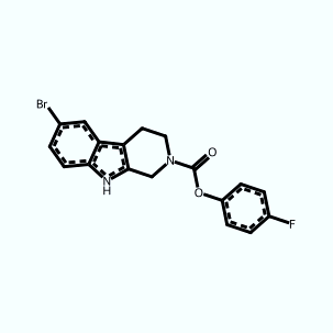 O=C(Oc1ccc(F)cc1)N1CCc2c([nH]c3ccc(Br)cc23)C1